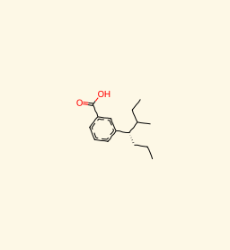 CCC[C@H](c1cccc(C(=O)O)c1)C(C)CC